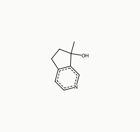 CC1(O)CCc2ccncc21